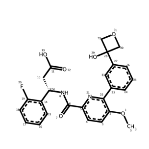 COc1ccc(C(=O)N[C@@H](CC(=O)O)c2ccccc2F)nc1-c1cccc(C2(O)COC2)c1